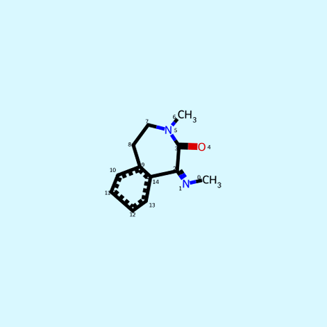 CN=C1C(=O)N(C)CCc2ccccc21